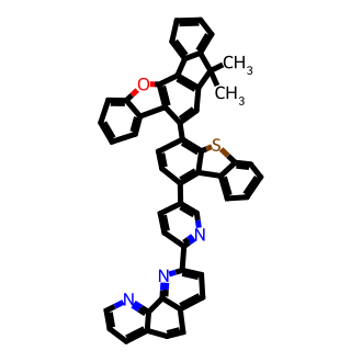 CC1(C)c2ccccc2-c2c1cc(-c1ccc(-c3ccc(-c4ccc5ccc6cccnc6c5n4)nc3)c3c1sc1ccccc13)c1c2oc2ccccc21